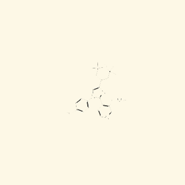 CCOc1ccc(-n2cc(C3CC(C)(C)OC(C)(C)C3)nc2-c2ccncc2OC)cc1